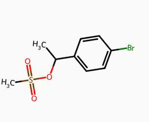 CC(OS(C)(=O)=O)c1ccc(Br)cc1